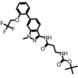 Cn1nc(NC(=O)CCNC(=O)OC(C)(C)C)c2ccc(-c3ccccc3OCC(F)(F)F)cc21